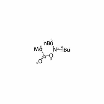 CCCCN(CCCC)O[C](=O)[Mo]